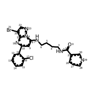 O=C(NCCCCNc1cc(-c2ccccc2Cl)nc2c(Br)cnn12)c1cccnc1